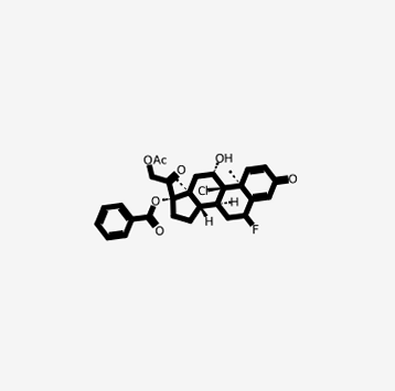 CC(=O)OCC(=O)[C@]1(OC(=O)c2ccccc2)CC[C@H]2[C@@H]3CC(F)C4=CC(=O)C=C[C@]4(C)[C@@]3(Cl)[C@@H](O)C[C@@]21C